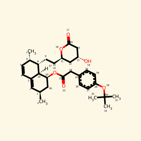 C[C@H]1C=C2C=C[C@H](C)[C@H](CC[C@@H]3C[C@@H](O)CC(=O)O3)[C@H]2[C@@H](OC(=O)Cc2ccc(OC(C)(C)C)cc2)C1